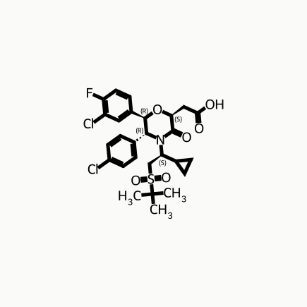 CC(C)(C)S(=O)(=O)C[C@H](C1CC1)N1C(=O)[C@H](CC(=O)O)O[C@H](c2ccc(F)c(Cl)c2)[C@H]1c1ccc(Cl)cc1